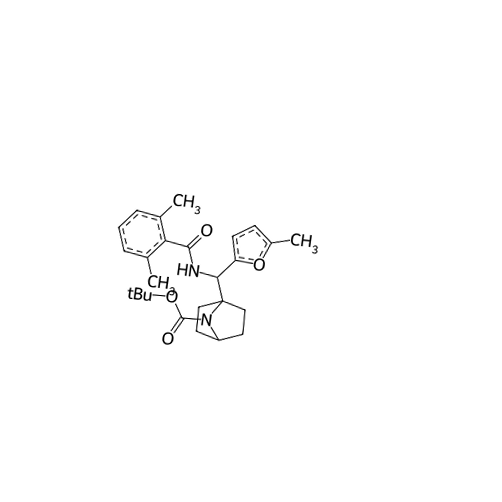 Cc1ccc(C(NC(=O)c2c(C)cccc2C)C23CCC(CC2)N3C(=O)OC(C)(C)C)o1